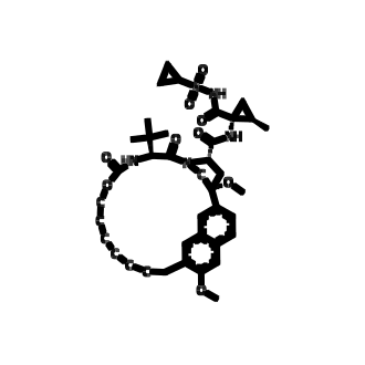 COc1cc2ccc3cc2cc1CCCCCCCOC(=O)N[C@@H](C(C)(C)C)C(=O)N1C[C@@]3(OC)C[C@H]1C(=O)N[C@]1(C(=O)NS(=O)(=O)C2CC2)C[C@H]1C